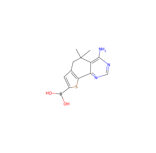 CC1(C)Cc2cc(B(O)O)sc2-c2ncnc(N)c21